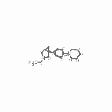 CCN1CC2CC2(c2ccc(N3CCCCC3)cc2)C1